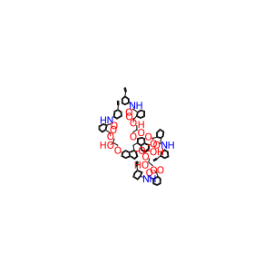 C#Cc1cccc(NC(=O)c2ccccc2C(=O)OCC(O)COc2ccc3ccc(OCC(O)COC(=O)c4ccccc4C(=O)Nc4cccc(C#C)c4)c(Cc4c(OCC(O)COC(=O)c5ccccc5C(=O)Nc5cccc(C#C)c5)ccc5ccc(OCC(O)COC(=O)c6ccccc6C(=O)Nc6cccc(C#C)c6)cc45)c3c2)c1